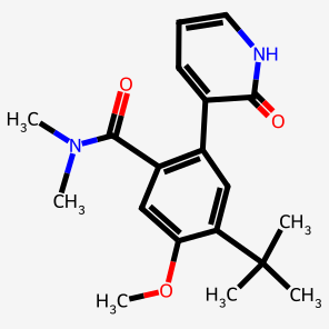 COc1cc(C(=O)N(C)C)c(-c2ccc[nH]c2=O)cc1C(C)(C)C